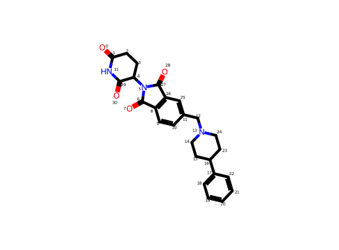 O=C1CCC(N2C(=O)c3ccc(CN4CCC(c5ccccc5)CC4)cc3C2=O)C(=O)N1